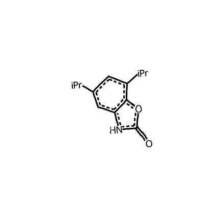 CC(C)c1cc(C(C)C)c2oc(=O)[nH]c2c1